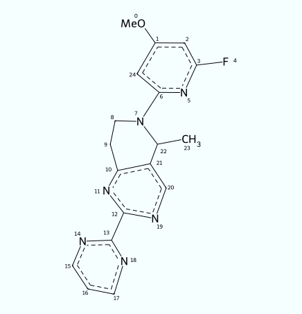 COc1cc(F)nc(N2CCc3nc(-c4ncccn4)ncc3C2C)c1